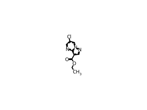 CCOC(=O)c1cnn2cc(Cl)cnc12